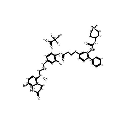 C[N+]1(C)CCC(OC(=O)Nc2cc(CCCC(=O)Nc3ccc(CNC[C@H](O)c4ccc(O)c5[nH]c(=O)ccc45)cc3Cl)ccc2-c2ccccc2)CC1.O=C([O-])C(F)(F)F